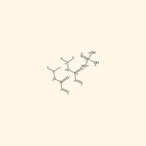 C=CC(=O)OC(C)C.C=CC(=O)OC(C)C.O=P(O)(O)O